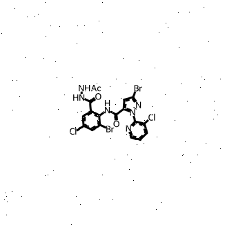 CC(=O)NNC(=O)c1cc(Cl)cc(Br)c1NC(=O)c1cc(Br)nn1-c1ncccc1Cl